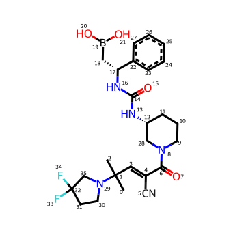 CC(C)(C=C(C#N)C(=O)N1CCC[C@@H](NC(=O)N[C@H](CB(O)O)c2ccccc2)C1)N1CCC(F)(F)C1